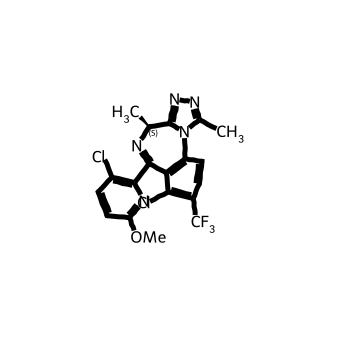 COc1ccc(Cl)c(C2=N[C@@H](C)c3nnc(C)n3-c3ccc(C(F)(F)F)c(Cl)c32)n1